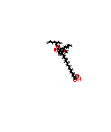 CCCCC(CC)COC(=O)C(CC)(CC(CC)CCCC)C(CC)CCCCCCCCCCCCCC(=O)O